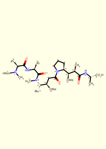 CCCCCCCCCN(C)[C@H](C(=O)N[C@H](C(=O)N(C)[C@@H]([C@@H](C)CC)[C@@H](CC(=O)N1CCC[C@H]1[C@H](OC)[C@@H](C)C(=O)N[C@@H](C)C(=O)O)OC)C(C)C)C(C)C